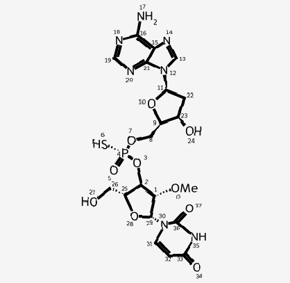 CO[C@H]1C(O[P@](=O)(S)OC[C@H]2O[C@@H](n3cnc4c(N)ncnc43)C[C@H]2O)[C@@H](CO)O[C@H]1n1ccc(=O)[nH]c1=O